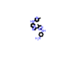 Cc1ccc(Nc2ccc3ncc(-c4nc(NC5CCC(N)CC5)ncc4C)n3c2)cn1